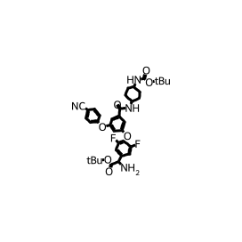 CC(C)(C)OC(=O)NC1CCC(NC(=O)c2cc(Oc3ccc(C#N)cc3)cc(Oc3c(F)cc(C(N)C(=O)OC(C)(C)C)cc3F)c2)CC1